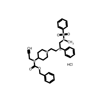 C#CCN(C(=O)OCc1ccccc1)C1CCN(CC[C@@H](CN(C)S(=O)(=O)c2ccccc2)c2ccccc2)CC1.Cl